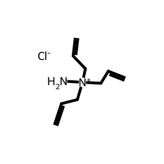 C=CC[N+](N)(CC=C)CC=C.[Cl-]